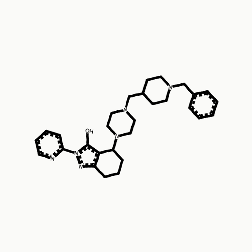 Oc1c2c(nn1-c1ccccn1)CCCC2N1CCN(CC2CCN(Cc3ccccc3)CC2)CC1